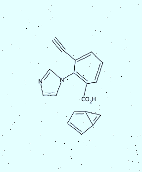 C#Cc1cccc(C(=O)O)c1-n1ccnc1.c1cc2cc-2c1